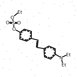 CCOS(=O)(=O)Oc1ccc(C=Cc2ccc(N(CC)CC)cc2)cc1